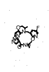 CC1COc2ncc(F)cc2CN2c3nc4c(cnn4cc3OCC2C)C(=O)N1